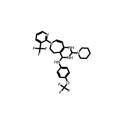 FC(F)(F)Oc1ccc(NC2NC(N3CCCCC3)NC3=C2CCN(c2ncccc2C(F)(F)F)C=C3)cc1